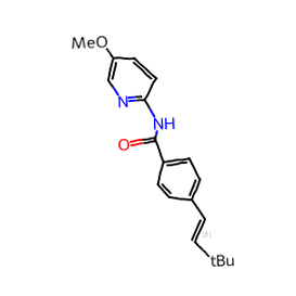 COc1ccc(NC(=O)c2ccc(/C=C/C(C)(C)C)cc2)nc1